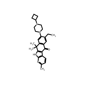 CCc1cc2c(cc1N1CCN(C3CCC3)CC1)C(C)(C)c1[nH]c3nc(C)ccc3c1C2=O